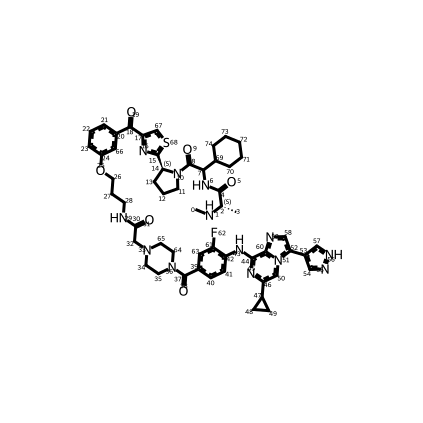 CN[C@@H](C)C(=O)NC(C(=O)N1CCC[C@H]1c1nc(C(=O)c2cccc(OCCCNC(=O)CN3CCN(C(=O)c4ccc(Nc5nc(C6CC6)cn6c(-c7cn[nH]c7)cnc56)c(F)c4)CC3)c2)cs1)C1CCCCC1